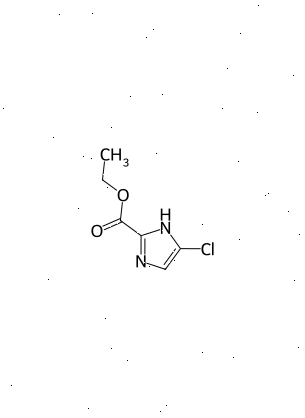 CCOC(=O)c1ncc(Cl)[nH]1